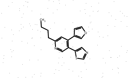 CCCCc1cc(-c2ccoc2)c(-c2cncs2)[c]n1